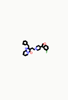 O=c1c(CCN2CCC(c3coc4ccc(F)cc34)CC2)c(Cc2ccccc2)nc2ccccn12